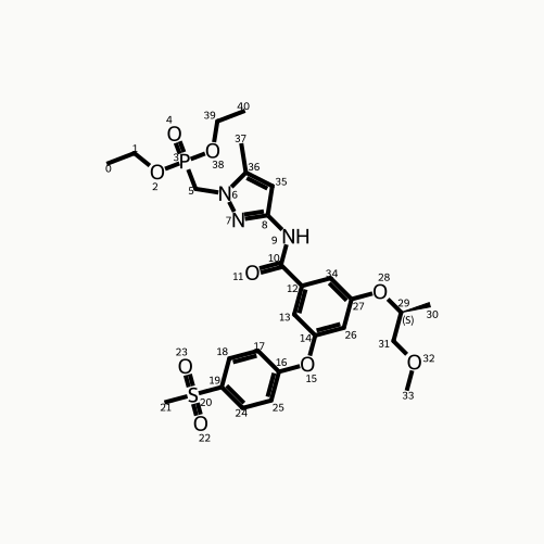 CCOP(=O)(Cn1nc(NC(=O)c2cc(Oc3ccc(S(C)(=O)=O)cc3)cc(O[C@@H](C)COC)c2)cc1C)OCC